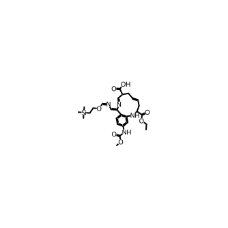 CCOC(=O)C1C/C=C/CC(C(=O)O)/C=N/C(=C\N=C/OCC[Si](C)(C)C)c2ccc(NC(=O)OC)cc2N1